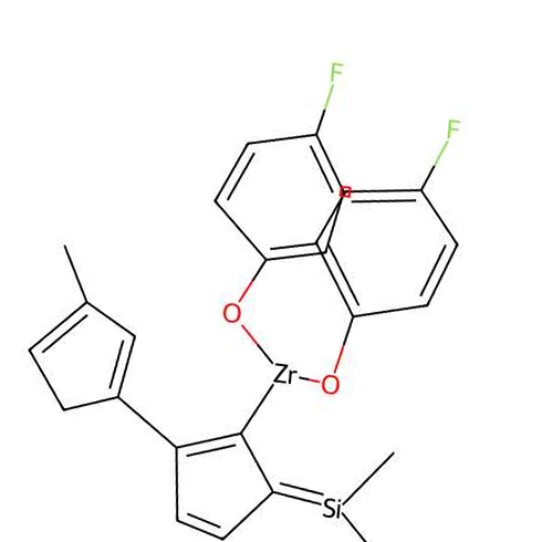 CC1=CCC(C2=[C]([Zr]([O]c3ccc(F)cc3)[O]c3ccc(F)cc3)C(=[Si](C)C)C=C2)=C1